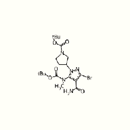 CN(C(=O)OC(C)(C)C)c1c(C(N)=O)c(Br)nn1C1CCN(C(=O)OC(C)(C)C)C1